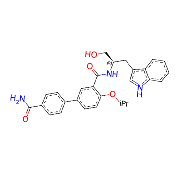 CC(C)Oc1ccc(-c2ccc(C(N)=O)cc2)cc1C(=O)N[C@@H](CO)Cc1c[nH]c2ccccc12